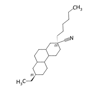 CCCCCC[C@]1(C#N)CCC2C(CCC3C[C@H](CC)CCC32)C1